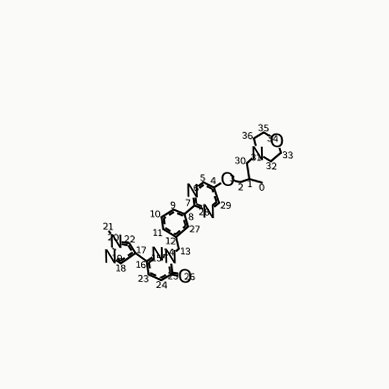 CC(COc1cnc(-c2cccc(Cn3nc(-c4cnn(C)c4)ccc3=O)c2)nc1)CN1CCOCC1